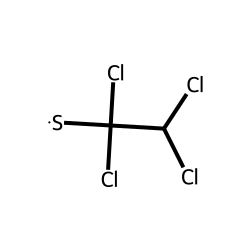 [S]C(Cl)(Cl)C(Cl)Cl